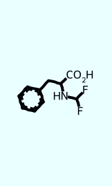 O=C(O)C(Cc1ccccc1)NC(F)F